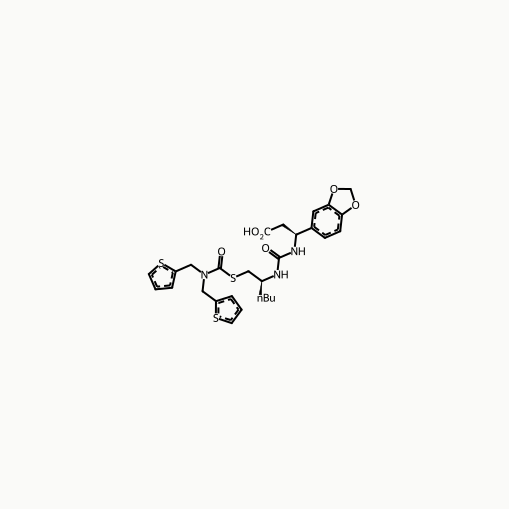 CCCC[C@@H](CSC(=O)N(Cc1cccs1)Cc1cccs1)NC(=O)N[C@@H](CC(=O)O)c1ccc2c(c1)OCO2